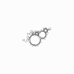 COC(=O)[C@@]1(O)CC(=O)N(C)CC/C=C\CCCCN2CCCCc3cc(Cl)ccc3COc3ccc1cc32